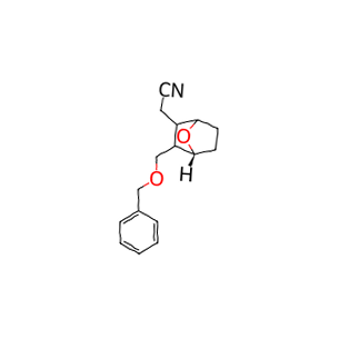 N#CCC1C2CC[C@@H](O2)C1COCc1ccccc1